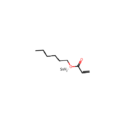 C=CC(=O)OCCCCCC.[SnH2]